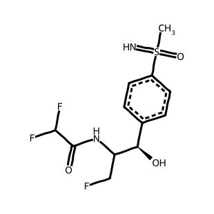 CS(=N)(=O)c1ccc([C@@H](O)C(CF)NC(=O)C(F)F)cc1